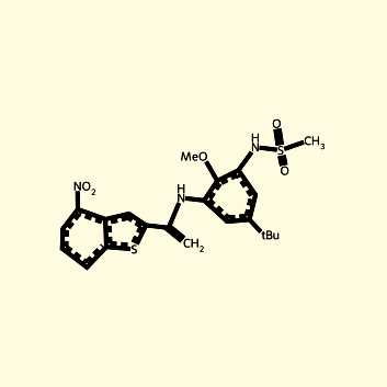 C=C(Nc1cc(C(C)(C)C)cc(NS(C)(=O)=O)c1OC)c1cc2c([N+](=O)[O-])cccc2s1